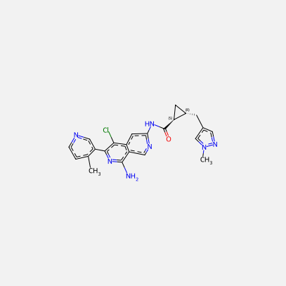 Cc1ccncc1-c1nc(N)c2cnc(NC(=O)[C@H]3C[C@@H]3Cc3cnn(C)c3)cc2c1Cl